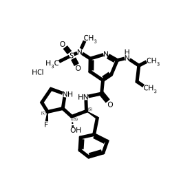 CCC(C)Nc1cc(C(=O)N[C@@H](Cc2ccccc2)[C@H](O)C2NCC[C@@H]2F)cc(N(C)S(C)(=O)=O)n1.Cl